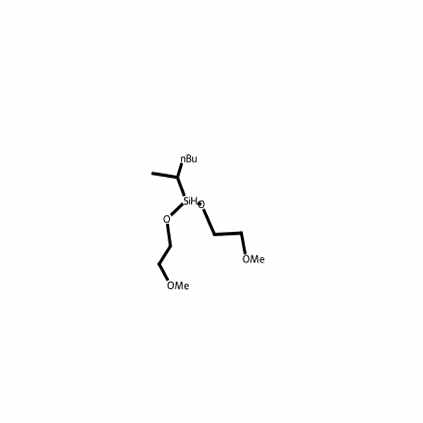 CCCCC(C)[SiH](OCCOC)OCCOC